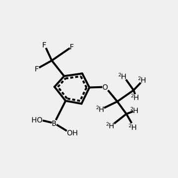 [2H]C([2H])([2H])C([2H])(Oc1cc(B(O)O)cc(C(F)(F)F)c1)C([2H])([2H])[2H]